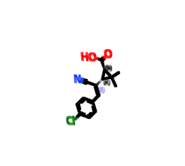 CC1(C)[C@H](C(=O)O)[C@H]1/C(C#N)=C/c1ccc(Cl)cc1